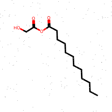 CCCCCCCCCCCC(=O)OC(=O)CO